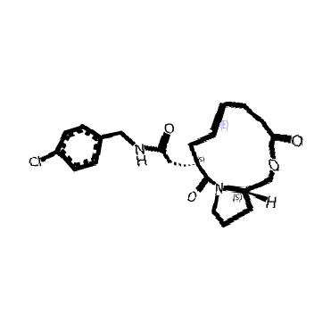 O=C(C[C@@H]1C/C=C/CCC(=O)OC[C@@H]2CCCN2C1=O)NCc1ccc(Cl)cc1